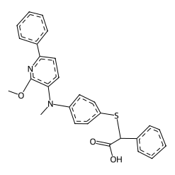 COc1nc(-c2ccccc2)ccc1N(C)c1ccc(SC(C(=O)O)c2ccccc2)cc1